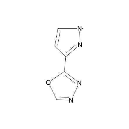 C1=CC(c2nnco2)=N[N]1